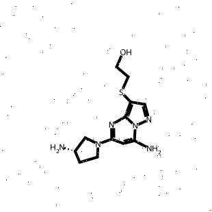 Nc1cc(N2CC[C@H](N)C2)nc2c(SCCO)cnn12